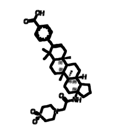 CC1(C)C(c2ccc(C(=O)O)cc2)=CC[C@@]2(C)C1CC[C@]1(C)C2CC[C@@H]2C3CCC[C@]3(NC(=O)CN3CCS(=O)(=O)CC3)CC[C@]21C